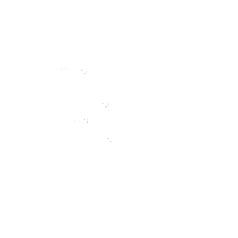 O=C(O)NCCCNc1c([N+](=O)[O-])cnc2cc(OCc3ccccc3)ccc12